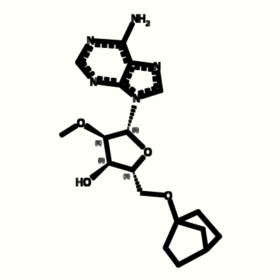 CO[C@@H]1[C@H](O)[C@@H](COC23CCC(CC2)C3)O[C@H]1n1cnc2c(N)ncnc21